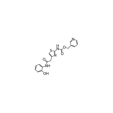 O=C(Cc1csc(NC(=O)OCc2cccnc2)n1)Nc1ccccc1O